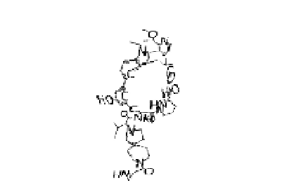 CCn1c(-c2cccnc2[C@H](C)OC)c2c3cc(ccc31)-c1cc(O)cc(c1)C[C@H](NC(=O)C(C(C)C)N1CCC3(CCN(C(=O)[C@H]4CN4)CC3)C1)C(=O)N1CCC[C@H](N1)C(=O)OCC(C)(C)C2